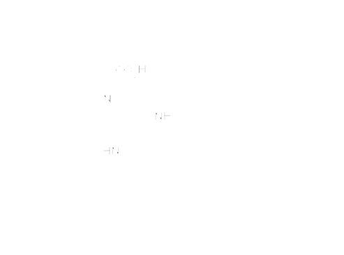 O=C(O)N=C(Nc1ccccc1)Nc1ccccc1